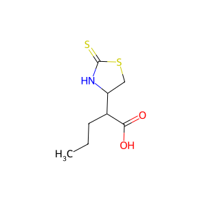 CCCC(C(=O)O)C1CSC(=S)N1